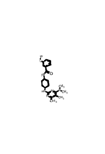 Cc1nc(NC2CCC(NC(=O)c3cccc(OC(C)C)c3)CC2)nc(N(C)C)c1C